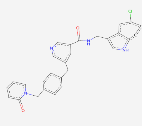 O=C(NCc1c[nH]c2ccc(Cl)cc12)c1cncc(Cc2ccc(Cn3ccccc3=O)cc2)c1